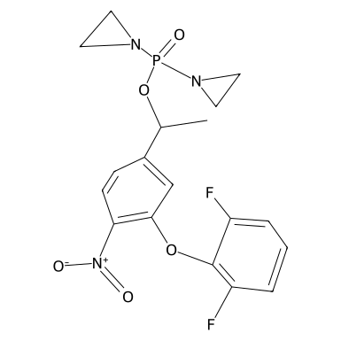 CC(OP(=O)(N1CC1)N1CC1)c1ccc([N+](=O)[O-])c(Oc2c(F)cccc2F)c1